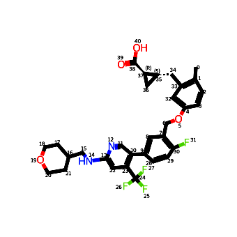 Cc1ccc(OCc2cc(-c3cnc(NCC4CCOCC4)cc3C(F)(F)F)ccc2F)cc1C[C@@H]1C[C@H]1C(=O)O